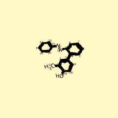 Cc1cc(-c2ccccc2N=Nc2ccccc2)ccc1O